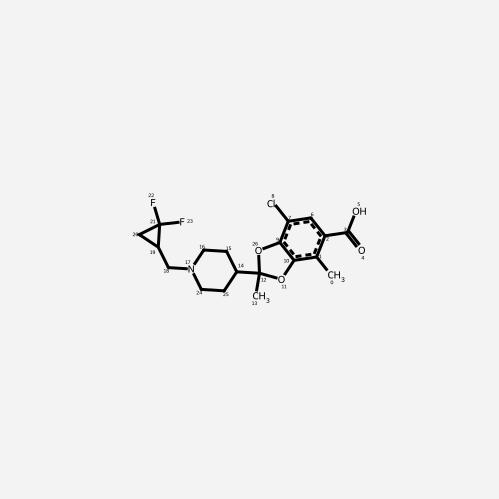 Cc1c(C(=O)O)cc(Cl)c2c1OC(C)(C1CCN(CC3CC3(F)F)CC1)O2